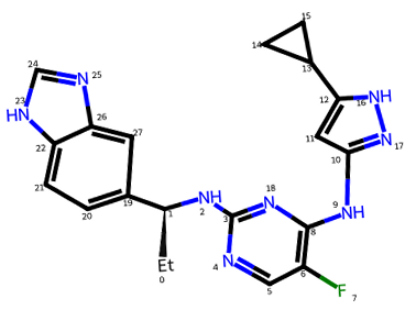 CC[C@H](Nc1ncc(F)c(Nc2cc(C3CC3)[nH]n2)n1)c1ccc2[nH]cnc2c1